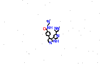 CN(C)CCNC(=O)c1ccc(-c2ccnc3[nH]c4cnc(-c5cnn(C)c5)cc4c23)cc1